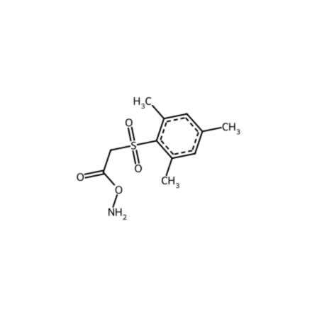 Cc1cc(C)c(S(=O)(=O)CC(=O)ON)c(C)c1